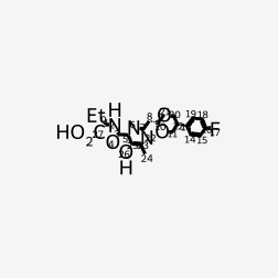 CCC(NC(=O)c1nc(C[C@H]2OC[C@H](c3ccc(F)cc3)CO2)nc(C)c1O)C(=O)O